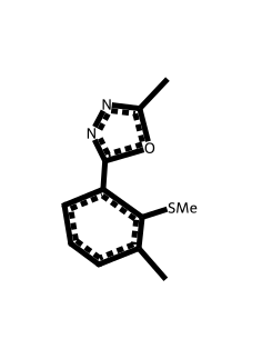 CSc1c(C)cccc1-c1nnc(C)o1